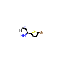 [H]/C=C\C(=N)c1ccc(Br)s1